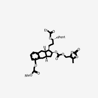 CCCCC[C@H](CC[C@@H]1[C@H]2Cc3cccc(OCC(=O)OC)c3C[C@H]2C[C@H]1OC(=O)OCc1oc(=O)oc1C)OC(=O)CC